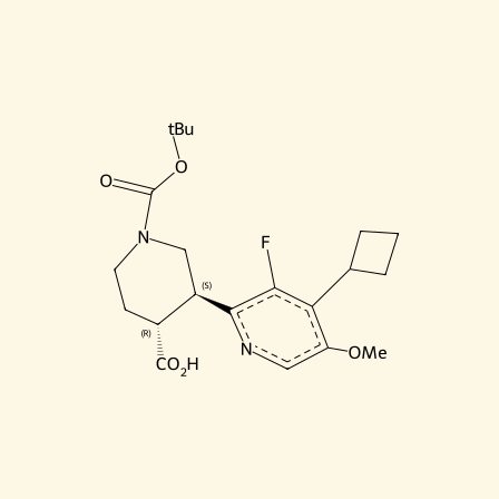 COc1cnc([C@@H]2CN(C(=O)OC(C)(C)C)CC[C@H]2C(=O)O)c(F)c1C1CCC1